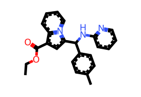 CCOC(=O)c1cc(C(Nc2ccccn2)c2ccc(C)cc2)n2ccccc12